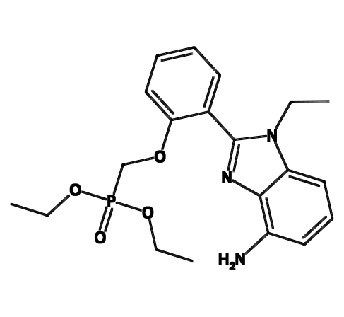 CCOP(=O)(COc1ccccc1-c1nc2c(N)cccc2n1CC)OCC